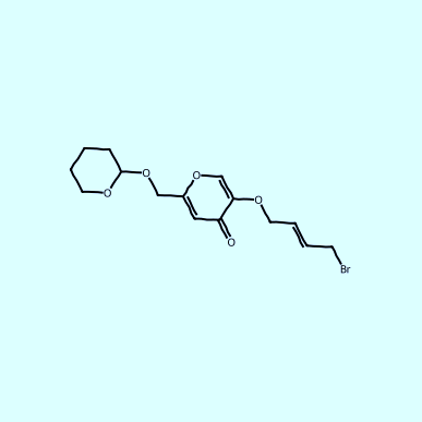 O=c1cc(COC2CCCCO2)occ1OCC=CCBr